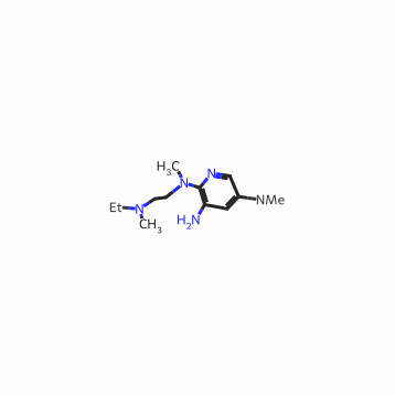 CCN(C)CCN(C)c1ncc(NC)cc1N